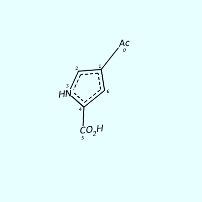 CC(=O)c1c[nH]c(C(=O)O)c1